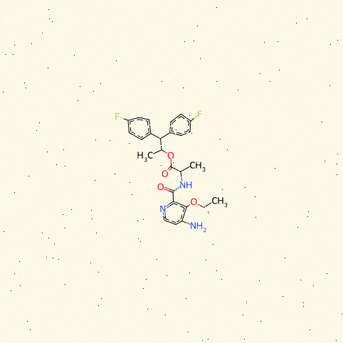 CCOc1c(N)ccnc1C(=O)NC(C)C(=O)OC(C)C(c1ccc(F)cc1)c1ccc(F)cc1